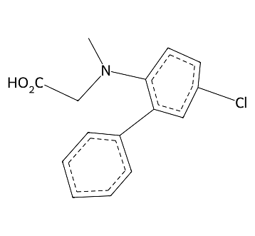 CN(CC(=O)O)c1ccc(Cl)cc1-c1ccccc1